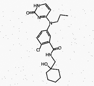 CCCN(c1ccc(Cl)c(C(=O)NCC2(O)CCCCC2)c1)c1cc[nH]c(=O)n1